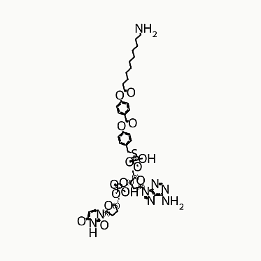 NCCCCCCCCCCC(=O)Oc1ccc(C(=O)Oc2ccc(CSP(=O)(O)OC[C@H]3O[C@@H](n4cnc5c(N)ncnc54)C[C@@H]3OP(=O)(O)OC[C@@H]3CC[C@H](n4ccc(=O)[nH]c4=O)O3)cc2)cc1